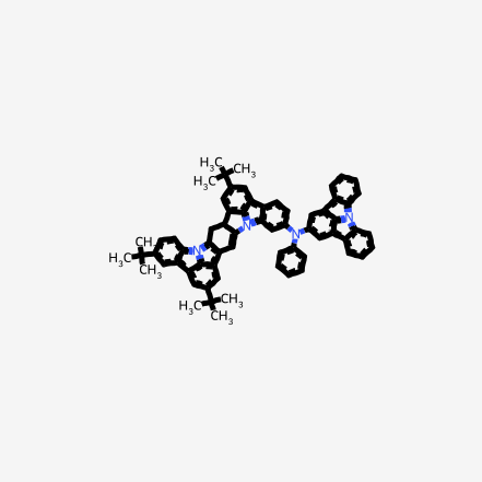 CC(C)(C)c1cc2c3c(c1)c1ccc(N(c4ccccc4)c4cc5c6ccccc6n6c7ccccc7c(c4)c56)cc1n3C1=Cc3c(n4c5ccc(C(C)(C)C)cc5c5cc(C(C)(C)C)cc3c54)CC12